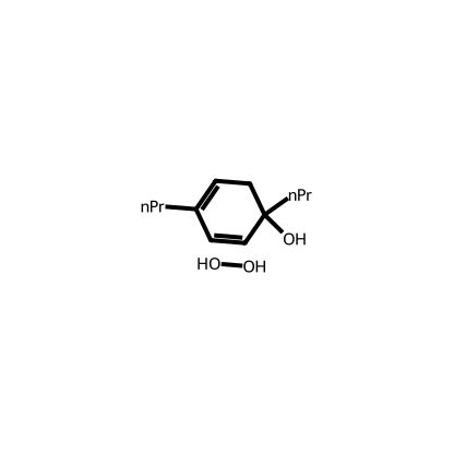 CCCC1=CCC(O)(CCC)C=C1.OO